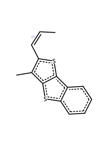 C/C=C\c1sc2c(sc3ccccc32)c1C